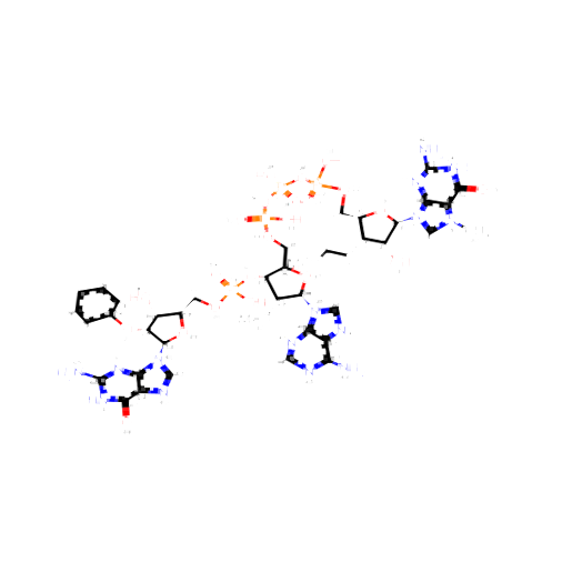 COCC[C@H]1[C@@H](O)[C@H](n2c[n+](C)c3c(=O)[nH]c(N)nc32)O[C@@H]1COP(=O)(O)OP(=O)(O)OP(=O)(O)OCC1O[C@@H](n2cnc3c(N)ncnc32)[C@H](OC)[C@@H]1OP(=O)(O)OC[C@H]1O[C@@H](n2cnc3c(=O)[nH]c(N)nc32)[C@H](Oc2ccccc2)[C@@H]1O